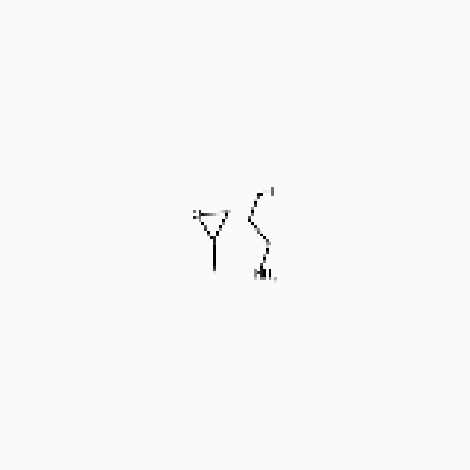 CC1CO1.NCCO